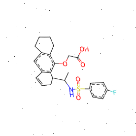 CC(NS(=O)(=O)c1ccc(F)cc1)C1CC=Cc2cc3c(c(OCC(=O)O)c21)CCCC3